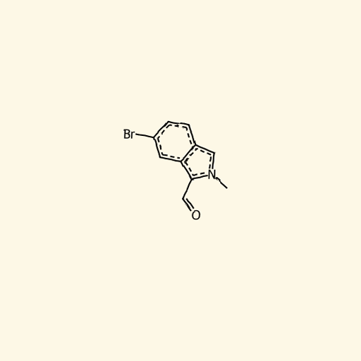 Cn1cc2ccc(Br)cc2c1C=O